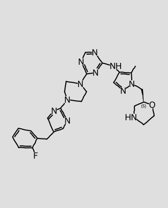 Cc1c(Nc2ncnc(N3CCN(c4ncc(Cc5ccccc5F)cn4)CC3)n2)cnn1C[C@@H]1CNCCO1